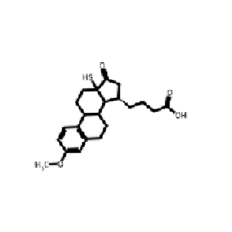 COc1ccc2c(c1)CCC1C2CCC2(S)C(=O)C[C@@H](CCCC(=O)O)C12